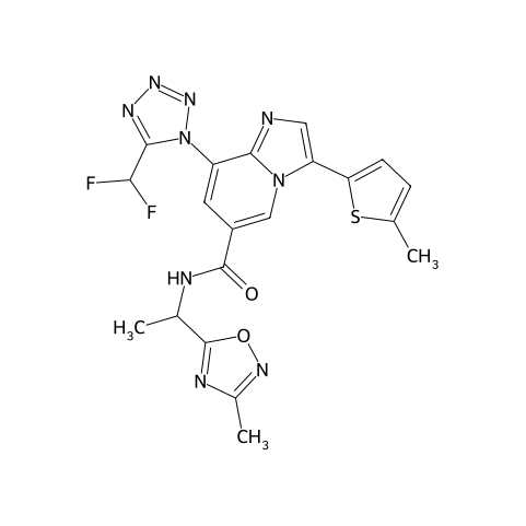 Cc1noc(C(C)NC(=O)c2cc(-n3nnnc3C(F)F)c3ncc(-c4ccc(C)s4)n3c2)n1